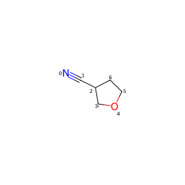 N#CC1[CH]OCC1